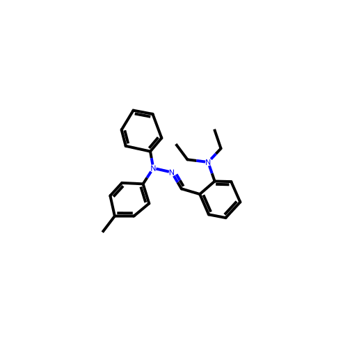 CCN(CC)c1ccccc1C=NN(c1ccccc1)c1ccc(C)cc1